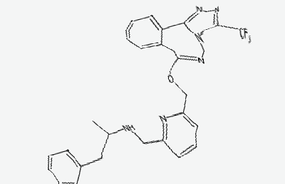 CC(Cc1ccccc1)NCc1cccc(COc2nn3c(C(F)(F)F)nnc3c3ccccc23)n1